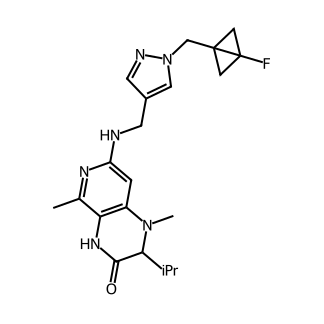 Cc1nc(NCc2cnn(CC34CC3(F)C4)c2)cc2c1NC(=O)C(C(C)C)N2C